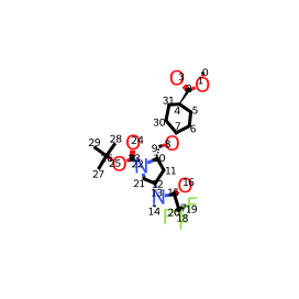 COC(=O)[C@H]1CC[C@H](OC[C@@H]2C[C@H](N(C)C(=O)C(F)(F)F)CN2C(=O)OC(C)(C)C)CC1